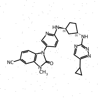 Cn1c(=O)n(-c2ccc(N[C@H]3CC[C@H](Nc4ncc(C5CC5)nn4)C3)nc2)c2ccc(C#N)cc21